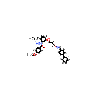 O=C(Nc1cc(OCCCO/N=C/c2ccc(-c3ccccc3)cc2)ccc1C(=O)O)c1ccc(OC(F)(F)F)cc1